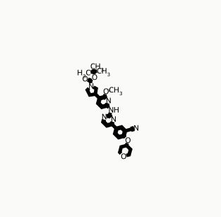 COc1nc(Nc2nccc(-c3ccc(OC4CCOCC4)c(C#N)c3)n2)ccc1C1CCN(C(=O)OC(C)(C)C)C1